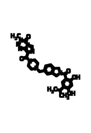 CC(C)c1cc(C(=O)N2Cc3ccc(CN4CCN(C(=O)c5ncn6c(=O)n(C)nnc56)CC4)cc3C2)c(O)cc1O